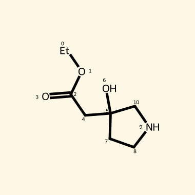 CCOC(=O)CC1(O)CCNC1